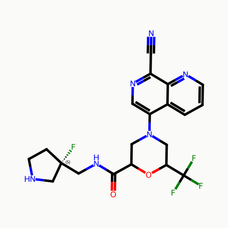 N#Cc1ncc(N2CC(C(=O)NC[C@]3(F)CCNC3)OC(C(F)(F)F)C2)c2cccnc12